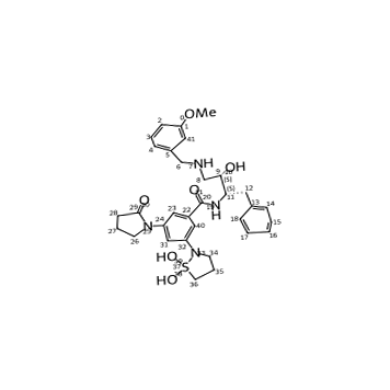 COc1cccc(CNC[C@H](O)[C@H](Cc2ccccc2)NC(=O)c2cc(N3CCCC3=O)cc(N3CCCS3(O)O)c2)c1